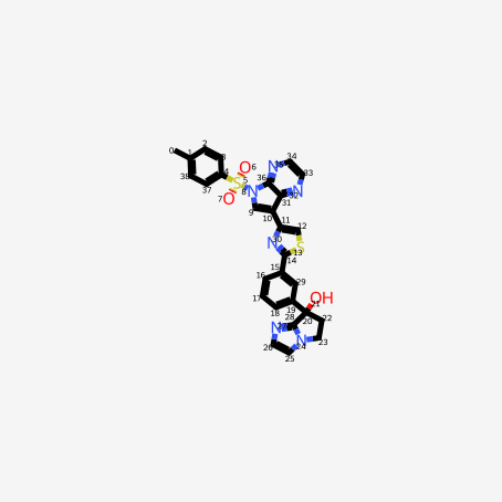 Cc1ccc(S(=O)(=O)n2cc(-c3csc(-c4cccc(C5(O)CCn6ccnc65)c4)n3)c3nccnc32)cc1